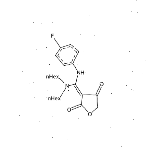 CCCCCCN(CCCCCC)C(Nc1ccc(F)cc1)=C1C(=O)COC1=O